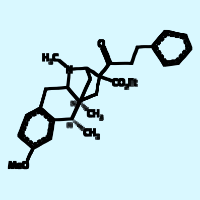 CCOC(=O)C1(C(=O)CCc2ccccc2)C[C@]2(C)C3Cc4ccc(OC)cc4[C@]2(C)CC1N3C